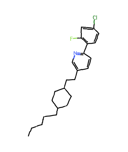 CCCCCC1CCC(CCc2ccc(-c3ccc(Cl)cc3F)nc2)CC1